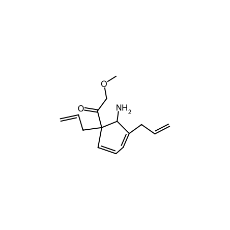 C=CCC1=CC=CC(CC=C)(C(=O)COC)C1N